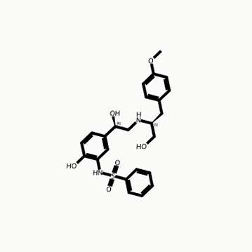 COc1ccc(C[C@@H](CO)NC[C@H](O)c2ccc(O)c(NS(=O)(=O)c3ccccc3)c2)cc1